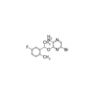 Cc1ccc(F)cc1C(C)Oc1nc(Br)cnc1N